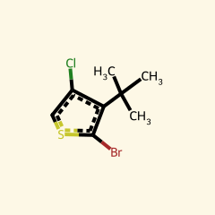 CC(C)(C)c1c(Cl)csc1Br